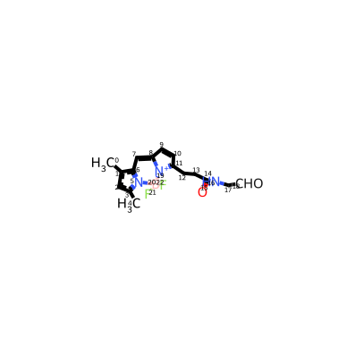 Cc1cc(C)n2c1C=C1C=CC(CCC(=O)NCC=O)=[N+]1[B-]2(F)F